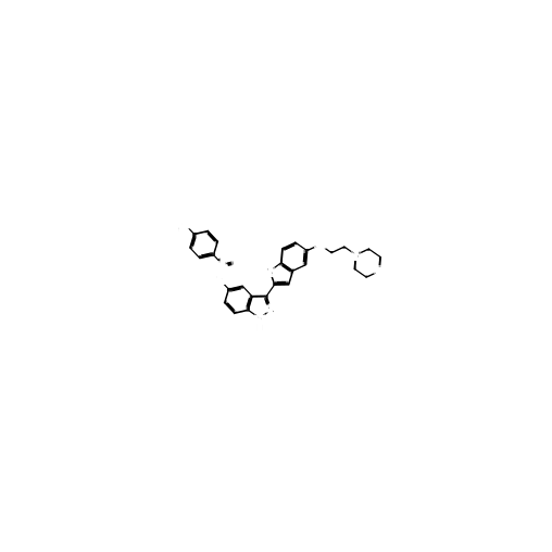 Cc1ccc([PH](=O)Oc2ccc3[nH]nc(-c4cc5cc(OCCN6CCOCC6)ccc5[nH]4)c3c2)cc1